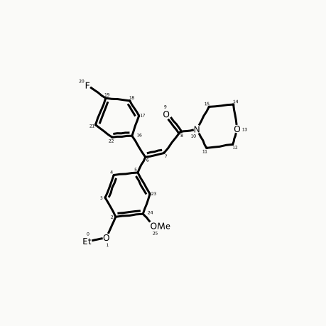 CCOc1ccc(C(=CC(=O)N2CCOCC2)c2ccc(F)cc2)cc1OC